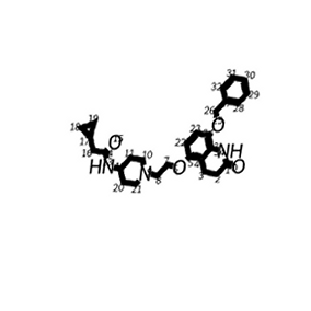 O=C1CCc2c(OCCN3CCC(NC(=O)CC4CC4)CC3)ccc(OCc3ccccc3)c2N1